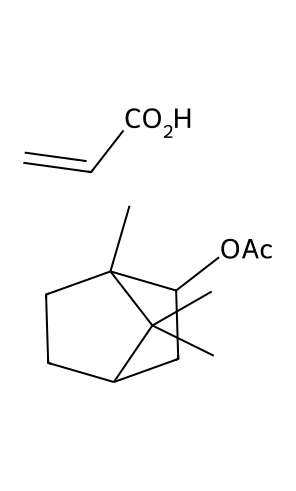 C=CC(=O)O.CC(=O)OC1CC2CCC1(C)C2(C)C